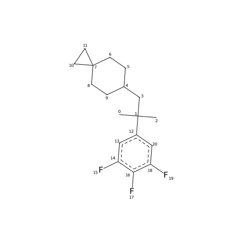 CC(C)(CC1CCC2(CC1)CC2)c1cc(F)c(F)c(F)c1